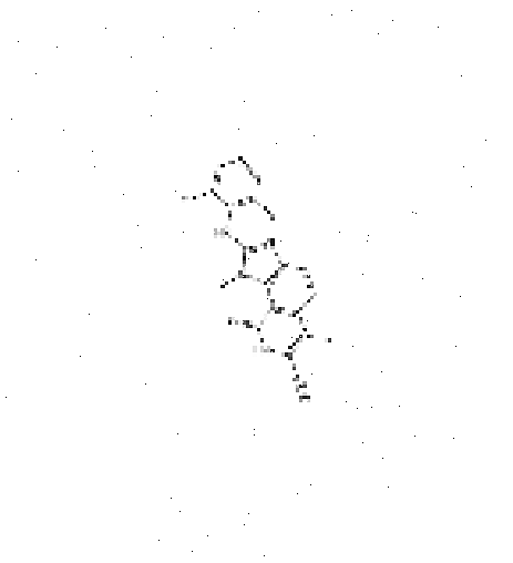 C#Cc1[nH]c(=O)c2c(ccc3nc(Nc4c(Cl)cccc4Cl)n(C)c32)c1C